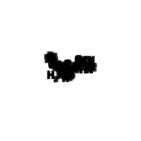 N#CC(=C[C@@H]1CCCN1)C(=O)N1CC[C@H](n2c(=O)n(-c3ccc(Oc4ccccc4)cc3)c3c(N)ncnc32)C1